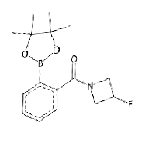 CC1(C)OB(c2ccccc2C(=O)N2CC(F)C2)OC1(C)C